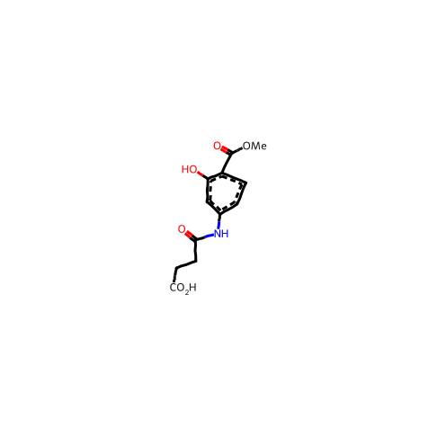 COC(=O)c1ccc(NC(=O)CCC(=O)O)cc1O